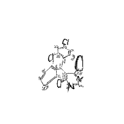 Clc1ccc(C(c2ccccc2)c2c(Cl)ncnc2Cl)c(Cl)c1